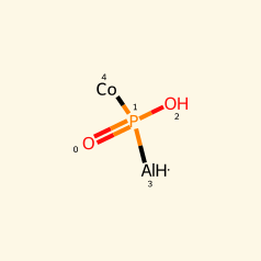 O=[P](O)([AlH])[Co]